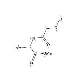 CCCC(NC(=O)COCC)C(=O)OC